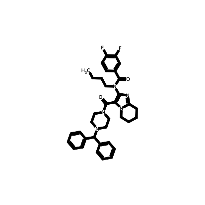 CCCCN(C(=O)c1ccc(F)c(F)c1)c1nc2n(c1C(=O)N1CCN(C(c3ccccc3)c3ccccc3)CC1)CCCC2